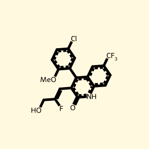 COc1ccc(Cl)cc1-c1c(C=C(F)CO)c(=O)[nH]c2ccc(C(F)(F)F)cc12